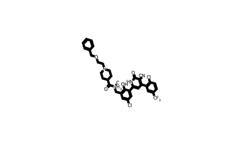 CN(Cc1cc(Cl)cc(-c2cc(-c3cc(C(F)(F)F)ccc3Cl)c(C#N)c(=O)[nH]2)c1O)C(=O)C1CCN(CCOCc2ccccc2)CC1